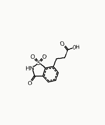 O=C(O)CCc1cccc2c1S(=O)(=O)NC2=O